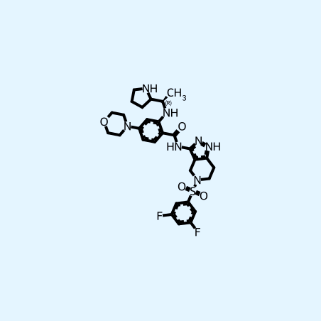 C[C@@H](Nc1cc(N2CCOCC2)ccc1C(=O)Nc1n[nH]c2c1CN(S(=O)(=O)c1cc(F)cc(F)c1)CC2)C1CCCN1